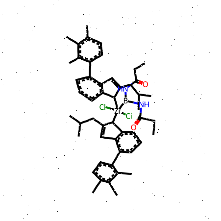 CCC(=O)N[B](NC(=O)CC)[Zr]([Cl])([Cl])([CH]1C(CC(C)C)=Cc2c(-c3ccc(C)c(C)c3C)cccc21)[CH]1C(CC(C)C)=Cc2c(-c3ccc(C)c(C)c3C)cccc21